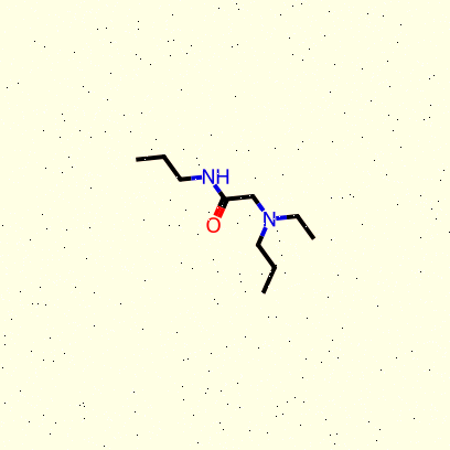 CCCNC(=O)CN(CC)CCC